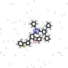 c1ccc(-c2cc(-c3ccccc3)cc(-c3nc(-c4ccccc4)nc(-c4ccc(-c5ccc6sc7ccccc7c6c5)c5oc6ccccc6c45)n3)c2)cc1